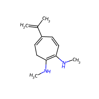 C=C(C)C1=CCC(NC)=C(NC)C=C1